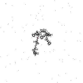 C[C@H](CCCOP(=O)(O)N[C@@H](CCC(=O)OCc1ccccc1)C(=O)OCc1ccccc1)NC(=O)CC[C@H](NC(=O)CCCCCNC(=O)CCCCCNC(=O)c1cnc(F)c(Cl)c1)C(=O)OCc1ccccc1